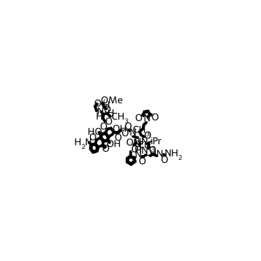 CO[C@H]1OCCN2[C@@H]1O[C@@H]1[C@H](C)OC(O[C@H]3C[C@](O)(C(=O)COC(=O)N(C)CCN(C)C(=O)OCc4ccccc4NC(=O)[C@H](CCCNC(N)=O)NC(=O)[C@@H](NC(=O)CCCCCN4C(=O)C=CC4=O)C(C)C)Cc4c(O)c5c(c(O)c43)C(=O)c3c(N)cccc3C5=O)C[C@@H]12